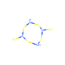 SN1SNSN(S)SNS1